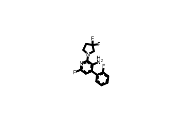 Nc1c(-c2ccccc2F)cc(F)nc1N1CCC(F)(F)C1